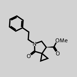 COC(=O)[C@@H]1CN(CCc2ccccc2)C(=O)C12CC2